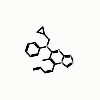 C=C/C=C\c1c(C)c(N(CC2CC2)c2ccccc2)nc2nncn12